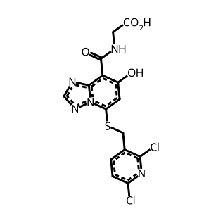 O=C(O)CNC(=O)c1c(O)cc(SCc2ccc(Cl)nc2Cl)n2ncnc12